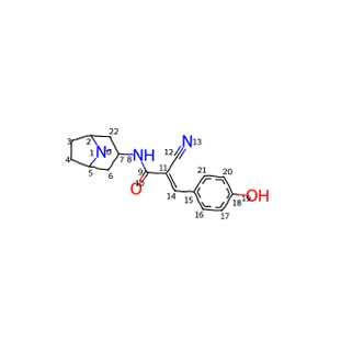 CN1C2CCC1CC(NC(=O)C(C#N)=Cc1ccc(O)cc1)C2